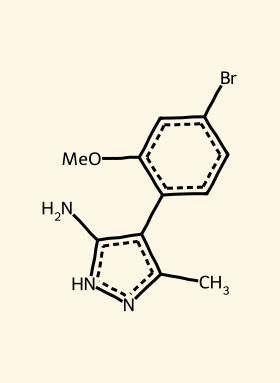 COc1cc(Br)ccc1-c1c(C)n[nH]c1N